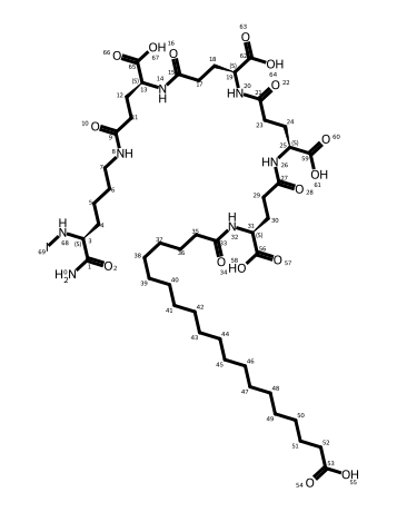 NC(=O)[C@H](CCCCNC(=O)CC[C@H](NC(=O)CC[C@H](NC(=O)CC[C@H](NC(=O)CC[C@H](NC(=O)CCCCCCCCCCCCCCCCCCC(=O)O)C(=O)O)C(=O)O)C(=O)O)C(=O)O)NI